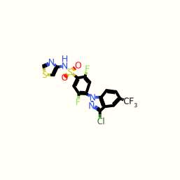 O=S(=O)(Nc1cscn1)c1cc(F)c(-n2nc(Cl)c3cc(C(F)(F)F)ccc32)cc1F